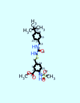 COC(=O)c1cc(CSNC(=O)NCc2ccc(C(C)(C)C)cc2)ccc1NS(C)(=O)=O